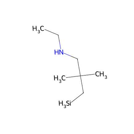 CCNCC(C)(C)C[SiH3]